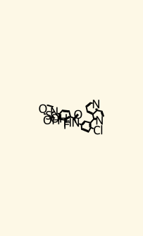 O=C(Nc1ccc(Cl)c(-c2nccc3ncccc23)c1)c1ccc(N2CCOCS2(O)O)cc1F